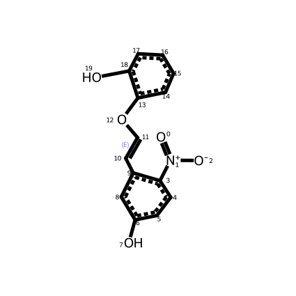 O=[N+]([O-])c1ccc(O)cc1/C=C/Oc1ccccc1O